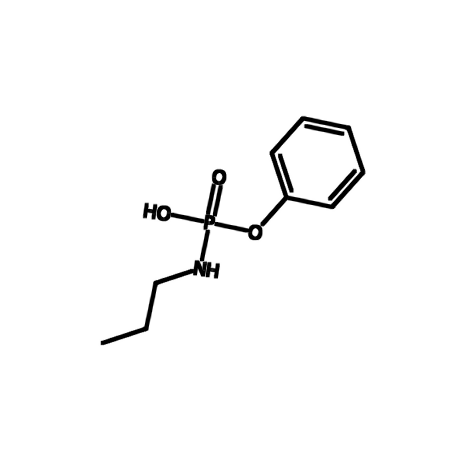 CCCNP(=O)(O)Oc1ccccc1